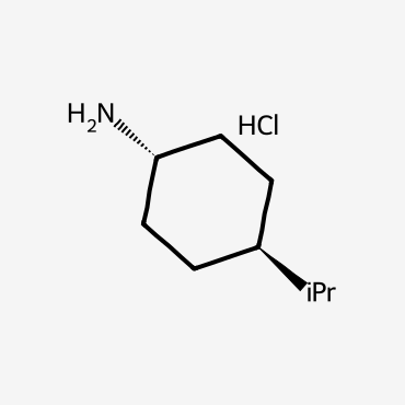 CC(C)[C@H]1CC[C@H](N)CC1.Cl